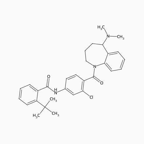 CN(C)C1CCCN(C(=O)c2ccc(NC(=O)c3ccccc3C(C)(C)C)cc2Cl)c2ccccc21